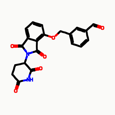 O=Cc1cccc(COc2cccc3c2C(=O)N(C2CCC(=O)NC2=O)C3=O)c1